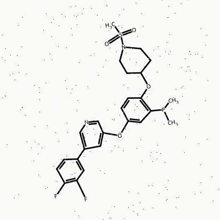 CP(C)c1cc(Oc2cncc(-c3ccc(F)c(F)c3)c2)ccc1OC1CCN(S(C)(=O)=O)CC1